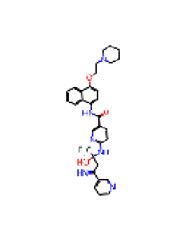 N=C(CC(O)(Nc1ccc(C(=O)Nc2ccc(OCCN3CCCCC3)c3ccccc23)cn1)C(F)(F)F)c1cccnc1